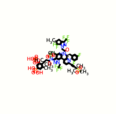 Cc1cc(P(=O)(O)O)cc(OP(=O)(O)O)c1C(C)(C)CC(=O)N(c1nn(CC(F)(F)F)c2c(-c3ccc(C#CC(C)(C)S(C)(=O)=O)nc3[C@H](Cc3cc(F)cc(F)c3)NC(=O)Cn3nc(C(F)(F)F)c4c3C(F)(F)[C@H](C)C4)ccc(Cl)c12)S(C)(=O)=O